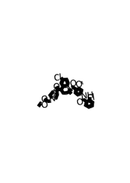 CCOC(=O)CN1CCN(C(=O)C2CCC(C)N(C(=O)c3ccc(NC(=O)c4ccccc4Cl)cc3OC)c3ccc(Cl)cc32)CC1